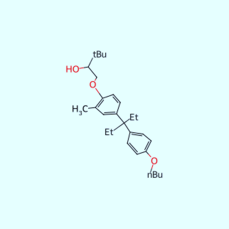 CCCCOc1ccc(C(CC)(CC)c2ccc(OCC(O)C(C)(C)C)c(C)c2)cc1